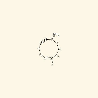 C/C1=C/CCC#CC(N)CCC1